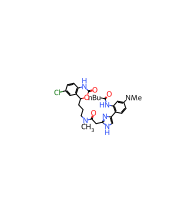 CCCCC(=O)Nc1cc(NC)ccc1-c1c[nH]c(CC(=O)N(C)CCCC2OC(=O)Nc3ccc(Cl)cc32)n1